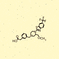 COCC1CN(Cc2cccc(CC(=O)O)c2)CCN1c1nc2ccc(C(F)(F)F)cc2s1